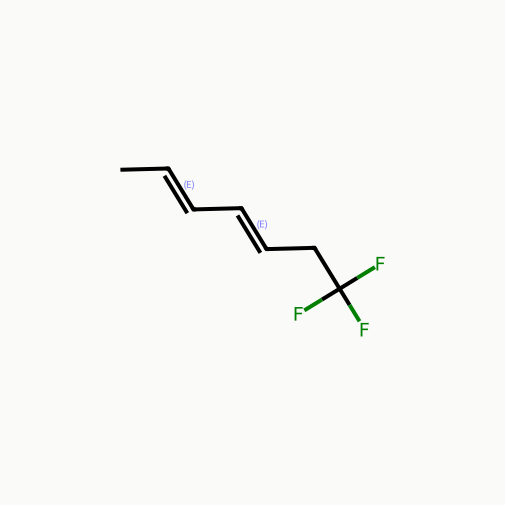 C/C=C/C=C/CC(F)(F)F